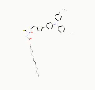 COc1ccc(N(c2ccc(OC)cc2)c2ccc(-c3ccc(/C=C4/SC(=S)N(CC(=O)OCCCCCCCCCCCC(=O)O)C4=O)s3)cc2)cc1